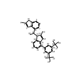 CC1=Cc2c(cccc2C(C)C2C(C)=Cc3c(-c4cc(C(C)(C)C)cc(C(C)(C)C)c4)cccc32)C1